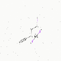 [C]#CCCCI.[I][Mg][I]